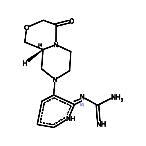 N=C(N)/N=c1\[nH]cccc1N1CCN2C(=O)COC[C@H]2C1